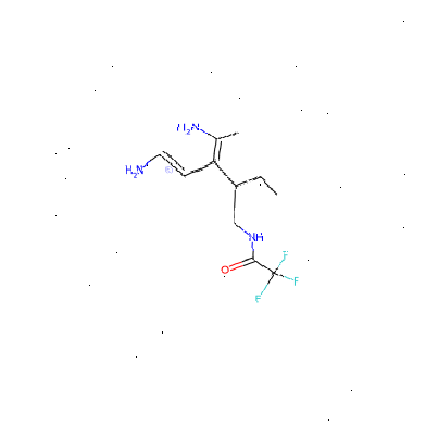 CCC(CNC(=O)C(F)(F)F)C(/C=C/N)=C(C)N